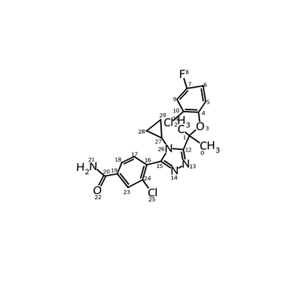 CC(C)(Oc1ccc(F)cc1Cl)c1nnc(-c2ccc(C(N)=O)cc2Cl)n1C1CC1